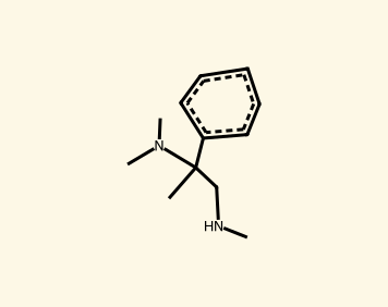 CNCC(C)(c1ccccc1)N(C)C